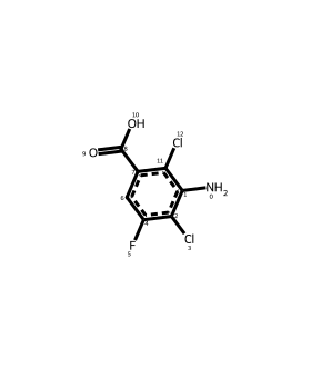 Nc1c(Cl)c(F)cc(C(=O)O)c1Cl